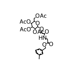 CC(=O)OCC1OC(OCC(=O)NCC(=O)OCc2cccc(C)c2)C(OC(C)=O)C(OC(C)=O)C1OC(C)=O